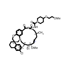 CC[C@H]1[C@@H](OC)/C=C/C[C@H](C)C[S@@](=O)(NC(=O)N2CCC(OCCOC)CC2)=NC(=O)c2ccc3c(c2)N(C[C@@H]1C)C[C@@]1(CCCc2cc(Cl)ccc21)CO3